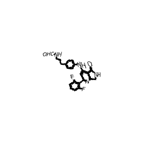 O=CNCCCc1ccc(Nc2cc(-c3c(F)cccc3F)nc3c2C(=O)NC3)cc1